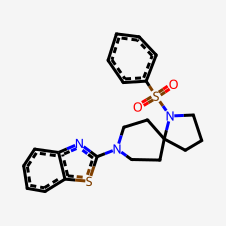 O=S(=O)(c1ccccc1)N1CCCC12CCN(c1nc3ccccc3s1)CC2